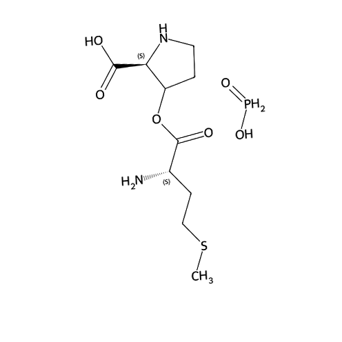 CSCC[C@H](N)C(=O)OC1CCN[C@@H]1C(=O)O.O=[PH2]O